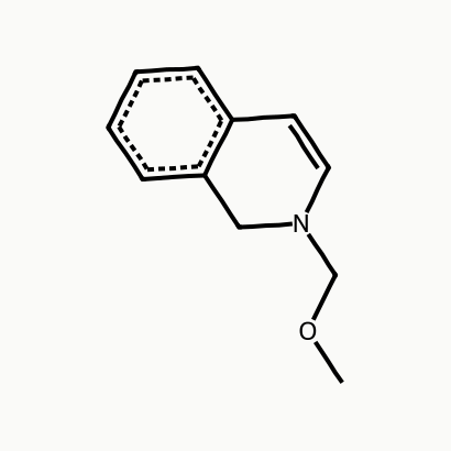 COCN1C=Cc2ccccc2C1